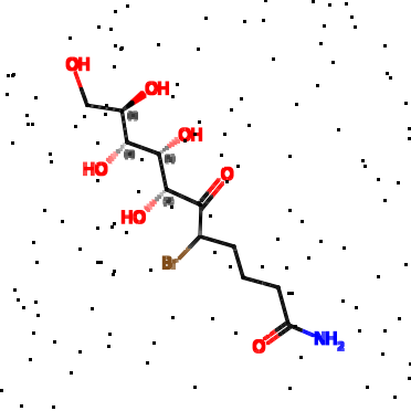 NC(=O)CCCC(Br)C(=O)[C@H](O)[C@@H](O)[C@H](O)[C@H](O)CO